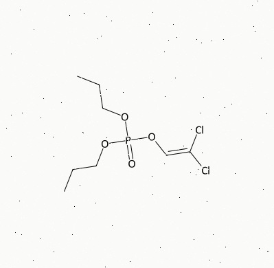 CCCOP(=O)(OC=C(Cl)Cl)OCCC